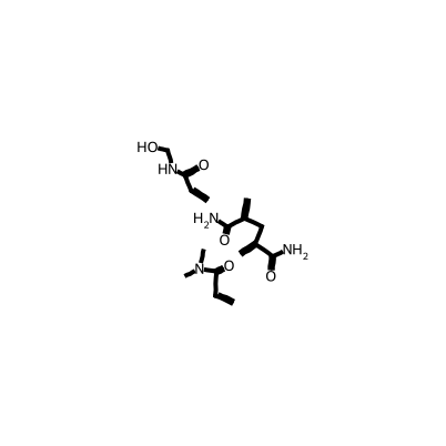 C=C(CC(=C)C(N)=O)C(N)=O.C=CC(=O)N(C)C.C=CC(=O)NCO